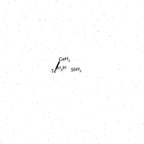 [GeH3][Te].[InH3].[SbH3]